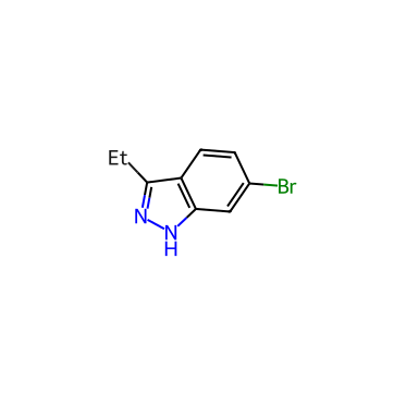 [CH2]Cc1n[nH]c2cc(Br)ccc12